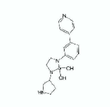 OS1(O)N(c2cccc(-c3ccncc3)c2)CCN1C1CCNC1